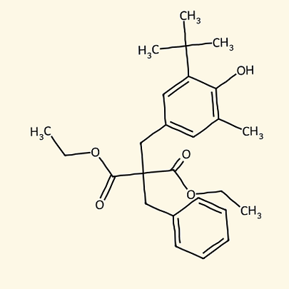 CCOC(=O)C(Cc1ccccc1)(Cc1cc(C)c(O)c(C(C)(C)C)c1)C(=O)OCC